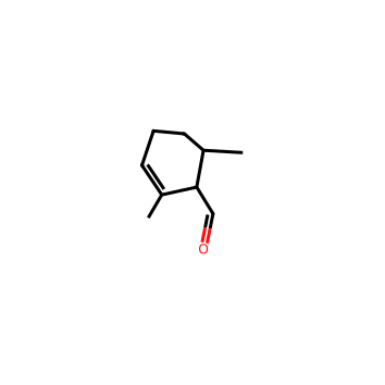 CC1=CCCC(C)C1C=O